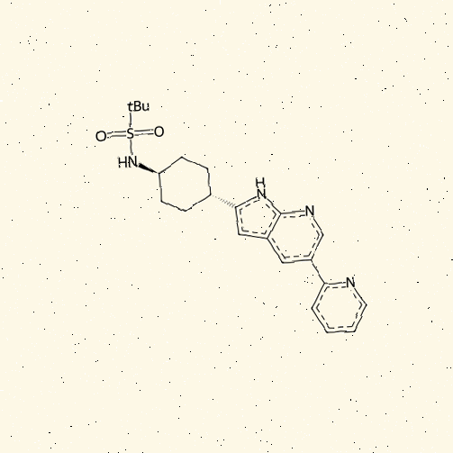 CC(C)(C)S(=O)(=O)N[C@H]1CC[C@H](c2cc3cc(-c4ccccn4)cnc3[nH]2)CC1